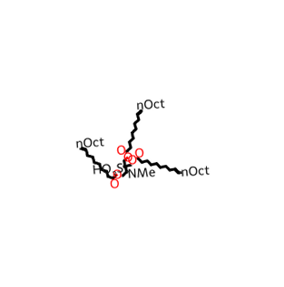 CCCCCCCCC=CCCCCCCCC(=O)OCC(NC)C(COC(=O)CCCCCCCC=CCCCCCCCC)(COC(=O)CCCCCCCC=CCCCCCCCC)S(=O)(=O)O